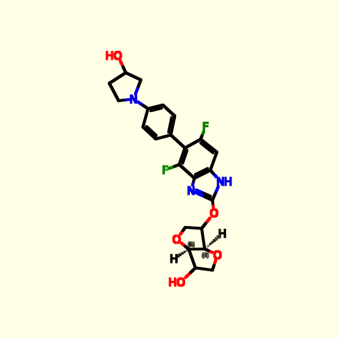 OC1CCN(c2ccc(-c3c(F)cc4[nH]c(OC5CO[C@@H]6C(O)CO[C@H]56)nc4c3F)cc2)C1